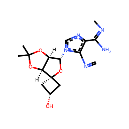 C=Nc1c(/C(N)=N\C)ncn1[C@@H]1O[C@]2(C[C@@H](O)C2)[C@H]2OC(C)(C)O[C@@H]12